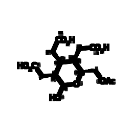 CC(=O)OC[C@@H]1OC(O)[C@@H](CC(=O)O)[C@@H](CC(=O)O)[C@H]1CC(=O)O